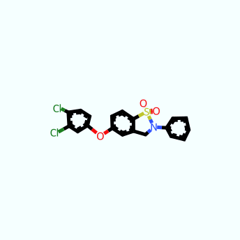 O=S1(=O)c2ccc(Oc3ccc(Cl)c(Cl)c3)cc2CN1c1ccccc1